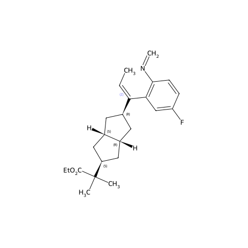 C=Nc1ccc(F)cc1/C(=C\C)[C@H]1C[C@@H]2C[C@@H](C(C)(C)C(=O)OCC)C[C@@H]2C1